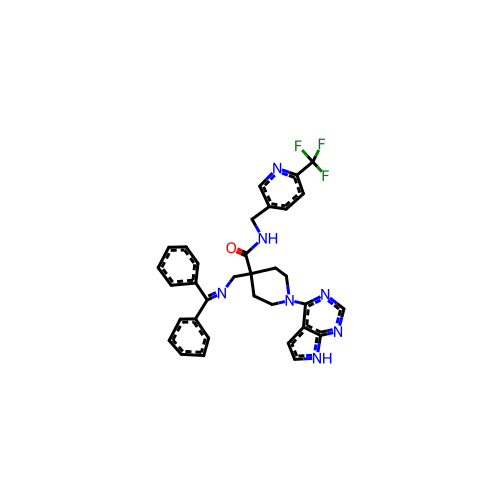 O=C(NCc1ccc(C(F)(F)F)nc1)C1(CN=C(c2ccccc2)c2ccccc2)CCN(c2ncnc3[nH]ccc23)CC1